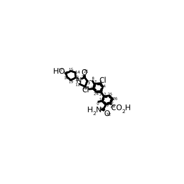 Cc1c(-c2cc(Cl)c(C[C@@H]3CCN([C@H]4CC[C@H](O)CC4)C3=O)c(Cl)c2)ccc(C(=O)O)c1C(N)=O